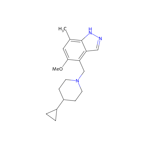 COc1cc(C)c2[nH]ncc2c1CN1CCC(C2CC2)CC1